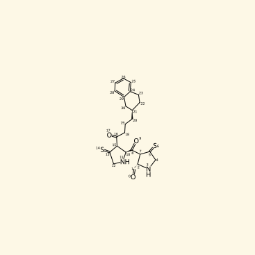 O=C[C@H]1NCC(=S)C1C(=O)[C@H]1NCC(=S)C1C(=O)CCC[C@@H]1CCc2ccccc2C1